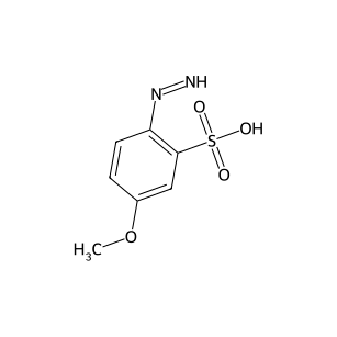 COc1ccc(N=N)c(S(=O)(=O)O)c1